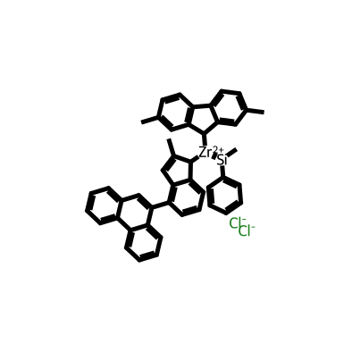 CC1=Cc2c(-c3cc4ccccc4c4ccccc34)cccc2[CH]1/[Zr+2]([CH]1c2cc(C)ccc2-c2ccc(C)cc21)=[Si](/C)c1ccccc1.[Cl-].[Cl-]